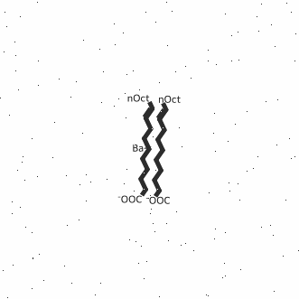 CCCCCCCCC=CCCCCCCCC(=O)[O-].CCCCCCCCC=CCCCCCCCC(=O)[O-].[Ba+2]